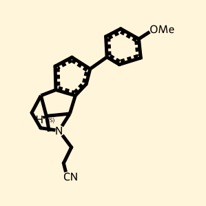 COc1ccc(-c2ccc3c(c2)C2[C@@H](C)C3CCN2CCC#N)cc1